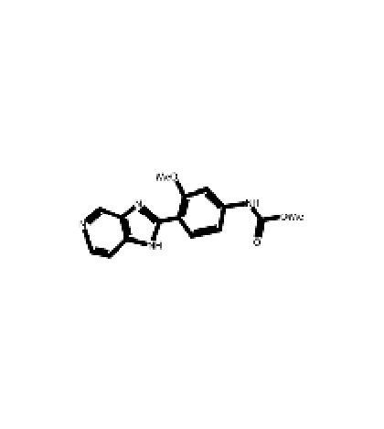 COC(=O)Nc1ccc(-c2nc3cnccc3[nH]2)c(OC)c1